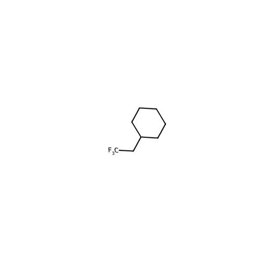 FC(F)(F)CC1CCCCC1